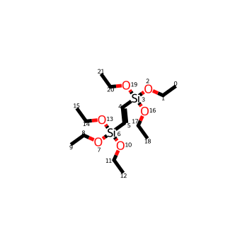 CCO[Si](C=C[Si](OCC)(OCC)OCC)(OCC)OCC